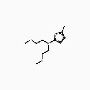 COCCN(CCOC)c1ccn(C)n1